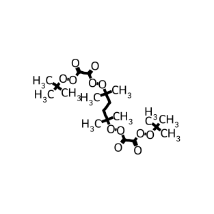 CC(C)(C)OOC(=O)C(=O)OOC(C)(C)CCC(C)(C)OOC(=O)C(=O)OOC(C)(C)C